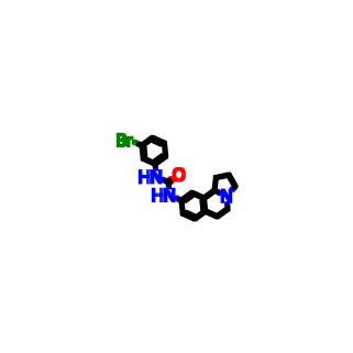 O=C(Nc1cccc(Br)c1)Nc1ccc2c(c1)C1CCCN1CC2